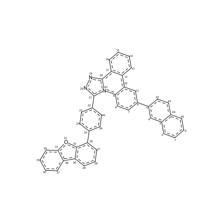 c1ccc2cc(-c3ccc4c(c3)c3ccccc3c3nnc(-c5ccc(-c6cccc7c6oc6ccccc67)cc5)n43)ccc2c1